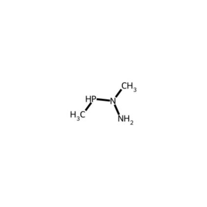 CPN(C)N